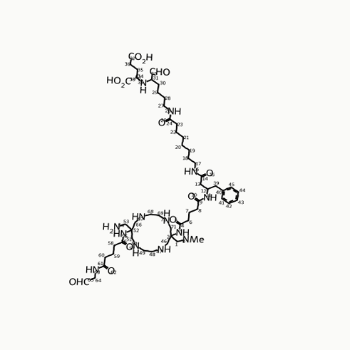 CNCC1(NC(=O)CCCC(=O)NC(CC(=O)NCCCCCCCC(=O)NCCCCC(C=O)N[C@@H](CCC(=O)O)C(=O)O)Cc2ccccc2)CNCCNCC(CN)(NC(=O)CCCC(=O)NCC=O)CNCCNC1